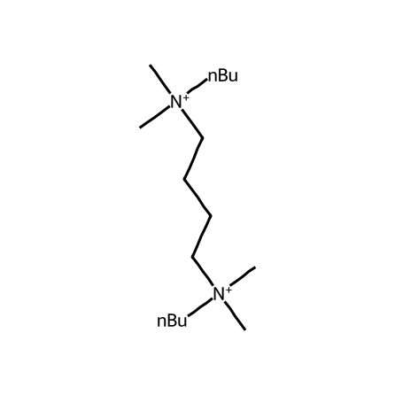 CCCC[N+](C)(C)CCCC[N+](C)(C)CCCC